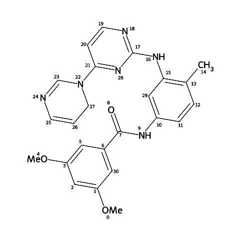 COc1cc(OC)cc(C(=O)Nc2ccc(C)c(Nc3nccc(N4C=NC=CC4)n3)c2)c1